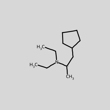 CCN(CC)[C](C)CC1CCCC1